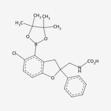 CC1(C)OB(c2c(Cl)ccc3c2CC(CNC(=O)O)(c2ccccc2)O3)OC1(C)C